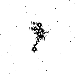 O=C(CSC=Cc1ccccc1)N[C@@H]1C(=O)N2C(C(=O)O)=C(C(Cc3cccc(O)c3)=C3CCNC3=O)CS[C@H]12